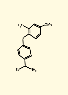 CCC(N)c1ccc(Oc2ccc(OC)cc2C(F)(F)F)cc1